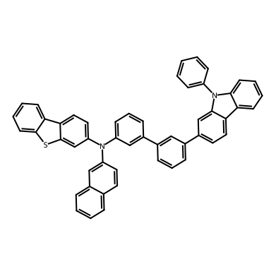 c1ccc(-n2c3ccccc3c3ccc(-c4cccc(-c5cccc(N(c6ccc7ccccc7c6)c6ccc7c(c6)sc6ccccc67)c5)c4)cc32)cc1